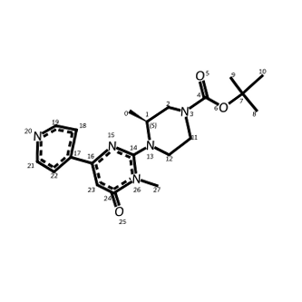 C[C@H]1CN(C(=O)OC(C)(C)C)CCN1c1nc(-c2ccncc2)cc(=O)n1C